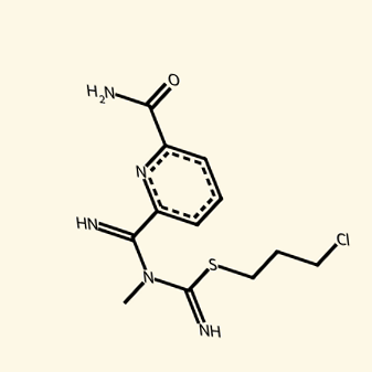 CN(C(=N)SCCCCl)C(=N)c1cccc(C(N)=O)n1